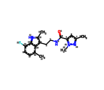 Cc1cc(C(=O)NCCc2c(C)[nH]c3c(F)ccc(C)c23)n(C)n1